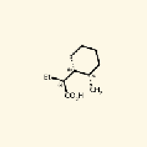 CC[C@H](C(=O)O)[C@@H]1CCCC[C@@H]1C